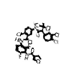 CC(Cl)(Cl)[C@H](C(=O)Nc1ccc(Cl)c(C(=O)Nc2ccc(F)c(NC(=O)C3CCOC3)c2F)c1)c1ccc(Cl)c(Cl)c1